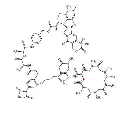 CC[C@@]1(O)C(=O)OCc2c1cc1n(c2=O)Cc2c-1nc1cc(F)c(C)c3c1c2[C@@H](NC(=O)OCc1ccc(NC(=O)[C@H](C)NC(=O)[C@H](C)NC(=O)CCc2ccc(N4C(=O)C=CC4=O)cc2OCCCC(=O)N(C)CC(=O)N(C)CC(=O)N(C)CC(=O)N(C)CC(=O)N(C)CC(=O)N(C)CC(=O)N(C)CC(=O)N(C)CC(=O)N(C)CC(=O)N(C)CC(C)=O)cc1)CC3